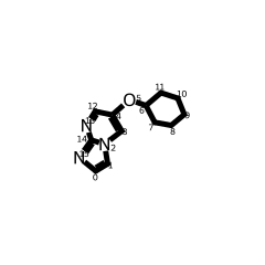 c1cn2cc(OC3CCCCC3)cnc2n1